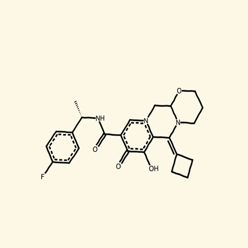 C[C@H](NC(=O)c1cn2c(c(O)c1=O)C(=C1CCC1)N1CCCOC1C2)c1ccc(F)cc1